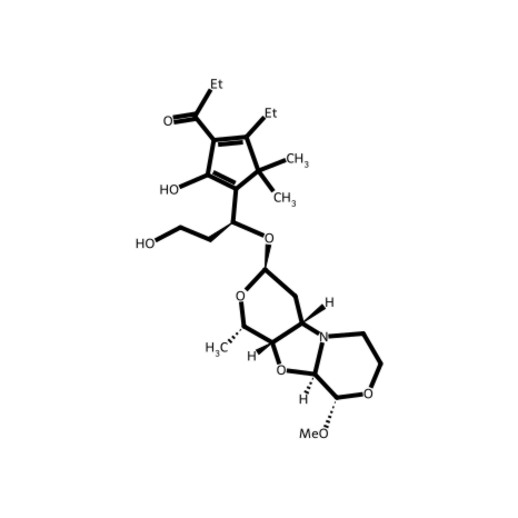 CCC(=O)C1=C(CC)C(C)(C)C([C@H](CCO)O[C@H]2C[C@H]3[C@H](O[C@@H]4[C@@H](OC)OCCN43)[C@H](C)O2)=C1O